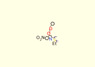 C/C=C(\S/C=C\CC)c1cc(OCCOCc2ccccc2)c2cc([N+](=O)[O-])ccc2n1